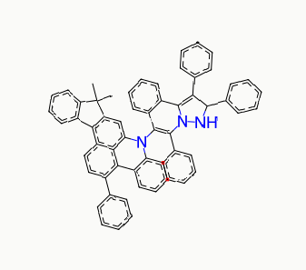 CC1(C)c2ccccc2-c2c1cc1c3c(c(-c4ccccc4)ccc23)-c2ccccc2N1C1=C(c2ccccc2)N2NC(c3ccccc3)C(c3ccccc3)=C2c2ccccc21